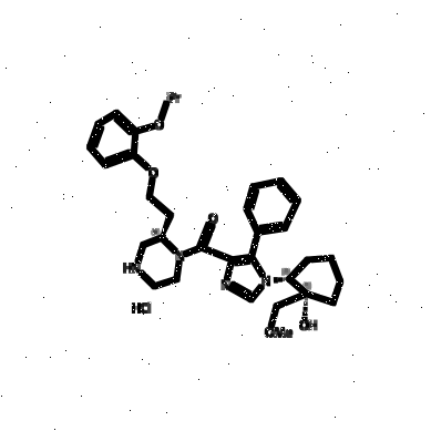 COC[C@]1(O)CCCC[C@H]1n1cnc(C(=O)N2CCNC[C@H]2CCOc2ccccc2OC(C)C)c1-c1ccccc1.Cl